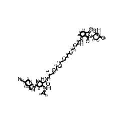 N#Cc1cnc2c(cnn2-c2cc(NC3CC3)c(C(=O)NCC(F)COCCOCCOCCOCCOCCNc3cccc4c3C(=O)N(C3CCC(=O)NC3=O)C4=O)cn2)c1